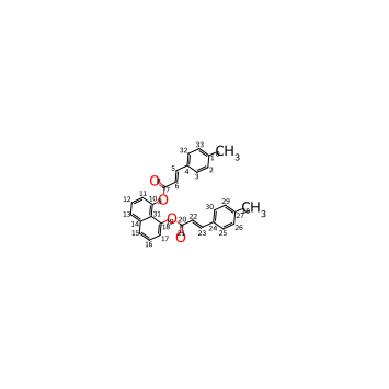 Cc1ccc(/C=C/C(=O)Oc2cccc3cccc(OC(=O)/C=C/c4ccc(C)cc4)c23)cc1